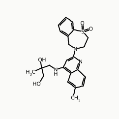 Cc1ccc2nc(N3CCS(=O)(=O)c4ccccc4C3)cc(NCC(C)(O)CO)c2c1